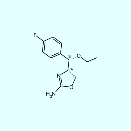 CCO[C@@H](c1ccc(F)cc1)[C@@H]1COC(N)=N1